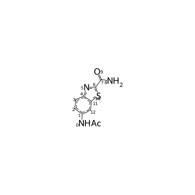 CC(=O)Nc1ccc2nc(C(N)=O)sc2c1